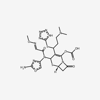 CON=CC(=O)N(c1coc(N)n1)C1S[C@H]2CC(=O)N2C(OC(=O)O)=C1C(CCN(C)C)Sc1nnn[nH]1